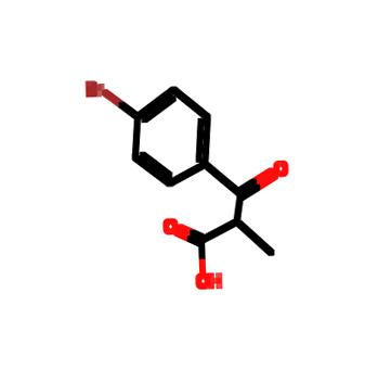 CC(C(=O)O)C(=O)c1ccc(Br)cc1